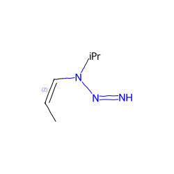 C/C=C\N(N=N)C(C)C